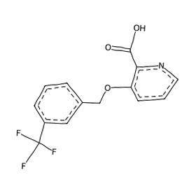 O=C(O)c1ncccc1OCc1cccc(C(F)(F)F)c1